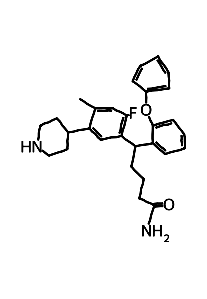 Cc1cc(F)c(C(CCCC(N)=O)c2ccccc2Oc2ccccc2)cc1C1CCNCC1